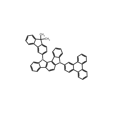 CC1(C)c2ccccc2-c2cc(-n3c4ccccc4c4ccc5c(c6ccccc6n5-c5ccc6c7ccccc7c7ccccc7c6c5)c43)ccc21